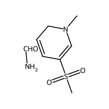 CN1C=C(S(C)(=O)=O)C=CC1.NC=O